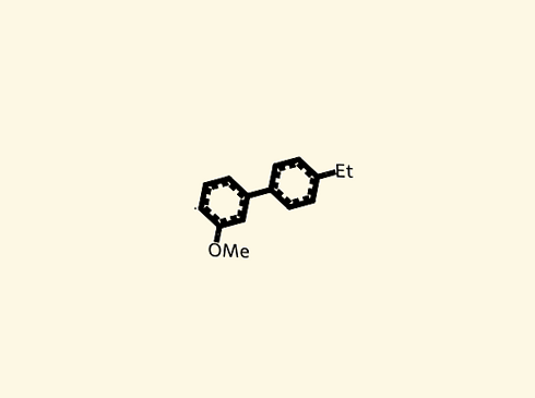 CCc1ccc(-c2cc[c]c(OC)c2)cc1